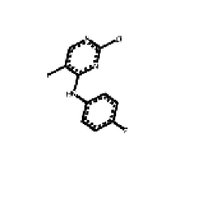 Fc1ccc(Nc2nc(Cl)ncc2I)cc1